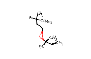 C=CC(C)(CC)OCCC(C)(CC)OC